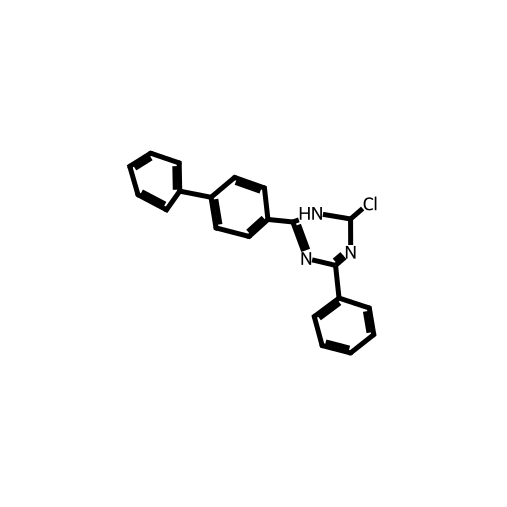 ClC1N=C(c2ccccc2)N=C(c2ccc(-c3ccccc3)cc2)N1